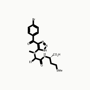 CCC(C(=O)N[C@@H](CCSC)C(=O)O)N(C)c1[nH]nnc1C(=O)c1ccc(Br)cc1